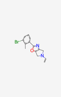 C=CN1Cc2nc(-c3cccc(Br)c3C)oc2C1